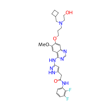 COc1cc2c(Nc3cc(CC(=O)Nc4cccc(F)c4F)[nH]n3)ncnc2cc1OCCCN(CCO)CC1CCC1